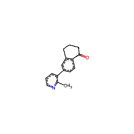 Cc1ncccc1-c1ccc2c(c1)CCCC2=O